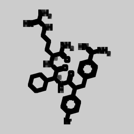 N=C(N)NCCC[C@H](NC(=O)[C@@H](NC(=O)C(Cc1ccc(C(=N)N)cc1)c1ccc(Br)cc1)C1CCCCC1)C(N)=O